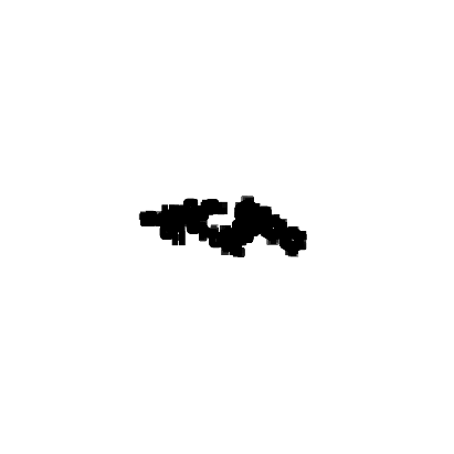 Cc1cc(OCCCON(C(=N)NC(=O)OC(C)(C)C)C(=O)OC(C)(C)C)cc(OS(=O)(=O)c2ccccc2S(=O)(=O)N2CCC(N3CCCCC3)CC2)c1